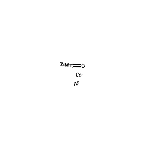 [Co].[Ni].[O]=[Mn].[Zn]